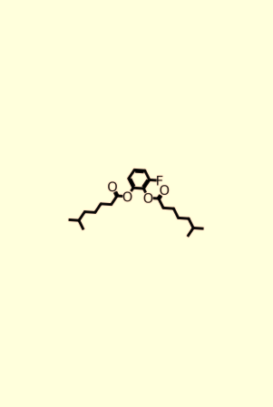 CC(C)CCCCC(=O)Oc1cccc(F)c1OC(=O)CCCCC(C)C